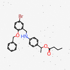 CCCC(=O)OC(C)c1ccc(NCc2cc(Br)ccc2OCc2ccccc2)cc1